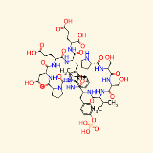 CC(C)[C@H](NC(=O)[C@H](CO)NC(=O)[C@H](CO)NC(=O)[C@@H]1CCCN1)C(=O)N[C@@H](Cc1ccc(OP(=O)(O)O)cc1)C(=O)N[C@H](C(=O)N1CCC[C@H]1C(=O)N[C@@H](CC(=O)O)C(=O)N[C@@H](CCC(=O)O)C(=O)N[C@@H](Cc1c[nH]c2ccccc12)C(=O)N[C@@H](CCC(=O)O)C(=O)O)C(C)C